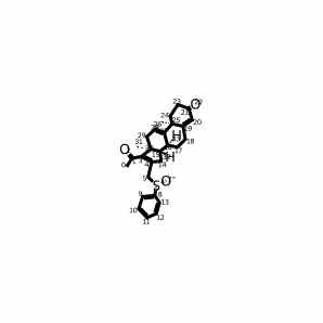 CC(=O)C1=C(C[S+]([O-])c2ccccc2)C[C@H]2[C@@H]3CCC4=CC(=O)CC[C@]4(C)C3=CC[C@]12C